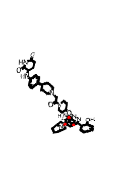 Nc1nnc(-c2ccccc2O)cc1N1CC2CCC(C1)N2c1cccc(OC2CCN(C(=O)CN3CCC(c4ccc(NC5CCC(=O)NC5=O)cc4)CC3)CC2)c1